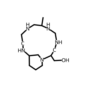 CC1CNCCNC2CCCN(C2)C(CO)CNCN1